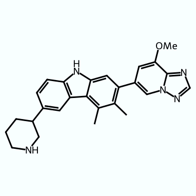 COc1cc(-c2cc3[nH]c4ccc(C5CCCNC5)cc4c3c(C)c2C)cn2ncnc12